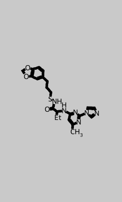 CCC(Nc1cc(C)nc(-n2ccnc2)n1)C(=O)NSCCCc1ccc2c(c1)OCO2